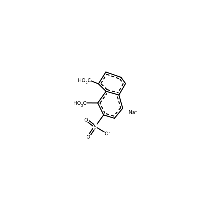 O=C(O)c1cccc2ccc(S(=O)(=O)[O-])c(C(=O)O)c12.[Na+]